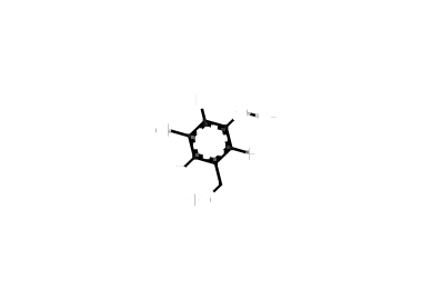 OCc1c(F)c(Cl)c(F)c(OC(F)(F)F)c1F